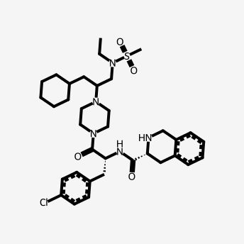 CCN(CC(CC1CCCCC1)N1CCN(C(=O)[C@@H](Cc2ccc(Cl)cc2)NC(=O)[C@H]2Cc3ccccc3CN2)CC1)S(C)(=O)=O